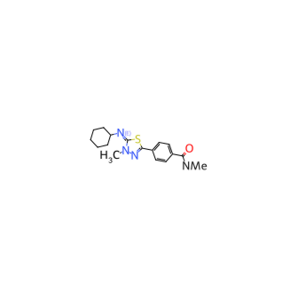 CNC(=O)c1ccc(-c2nn(C)/c(=N\C3CCCCC3)s2)cc1